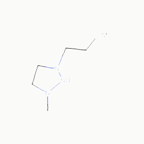 COCCN1CCN(C)N1